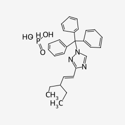 CCC(C=Cc1ncn(C(c2ccccc2)(c2ccccc2)c2ccccc2)n1)CC.O=[PH](O)O